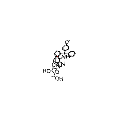 COc1ccc(C(Nc2ncnc3c2ncn3[C@@H]2O[C@H]([C@H](C)O)[C@@H](O)[C@@]2(C)O)(c2ccccc2)c2ccccc2)cc1